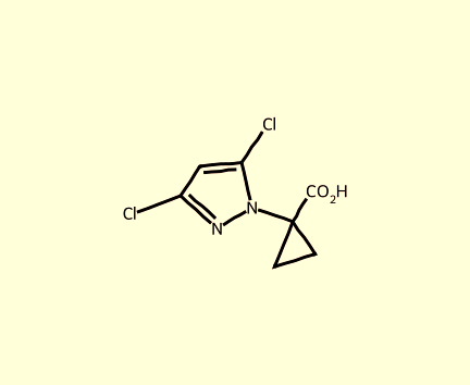 O=C(O)C1(n2nc(Cl)cc2Cl)CC1